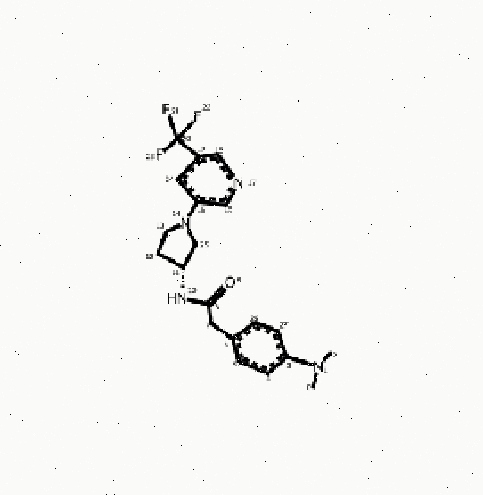 CN(C)c1ccc(CC(=O)N[C@@H]2CCN(c3cncc(C(F)(F)F)c3)C2)cc1